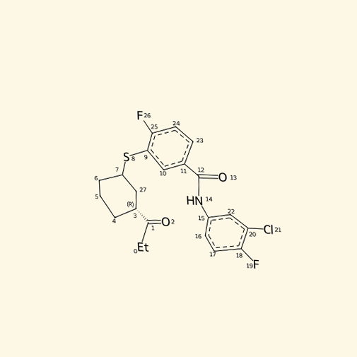 CCC(=O)[C@@H]1CCCC(Sc2cc(C(=O)Nc3ccc(F)c(Cl)c3)ccc2F)C1